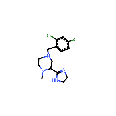 CN1CCN(Cc2ccc(Cl)cc2Cl)CC1C1=NCCN1